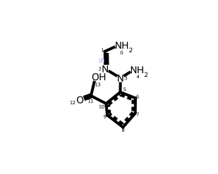 N/C=N\N(N)c1ccccc1C(=O)O